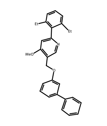 CCc1cccc(CC)c1-c1cc(OC)c(COc2cccc(-c3ccccc3)c2)cn1